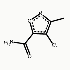 CCc1c(C)noc1C(N)=O